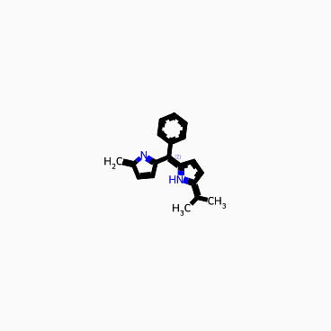 C=C1C=CC(/C(c2ccccc2)=c2/ccc(=C(C)C)[nH]2)=N1